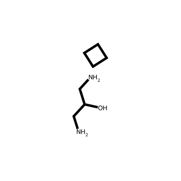 C1CCC1.NCC(O)CN